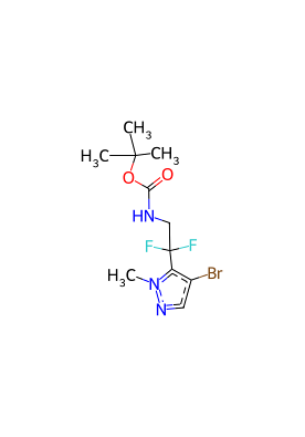 Cn1ncc(Br)c1C(F)(F)CNC(=O)OC(C)(C)C